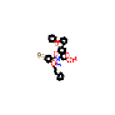 O=C(O)CC(NC(=O)c1cc(Br)ccc1OCC=Cc1ccccc1)c1ccc(-c2ccccc2Oc2ccccc2)cc1